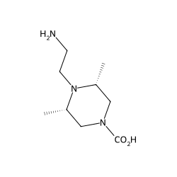 C[C@@H]1CN(C(=O)O)C[C@H](C)N1CCN